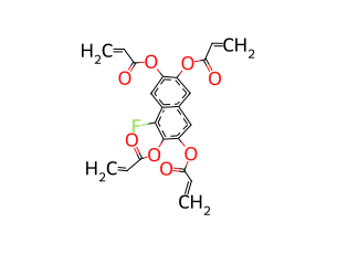 C=CC(=O)Oc1cc2cc(OC(=O)C=C)c(OC(=O)C=C)c(F)c2cc1OC(=O)C=C